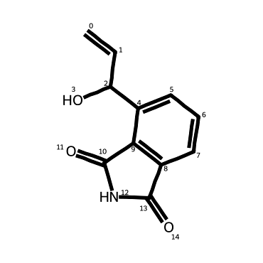 C=CC(O)c1cccc2c1C(=O)NC2=O